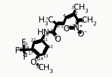 C=C(/C(C)=C\C=C(/C)C(=O)Nc1ccc(OC)c(C(F)(F)F)c1)[N+](=O)[O-]